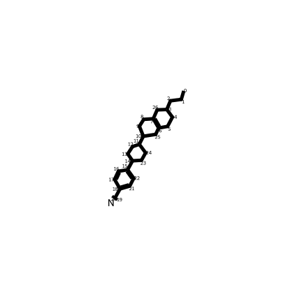 CCCC1CCC2=C(CCC(C3CCC(c4ccc(C#N)cc4)CC3)C2)C1